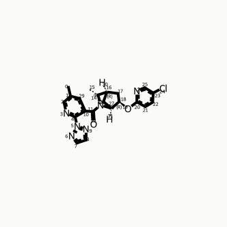 Cc1cnc(-n2nccn2)c(C(=O)N2[C@H](C)[C@H]3C[C@@H](Oc4ccc(Cl)cn4)[C@@H]2C3)c1